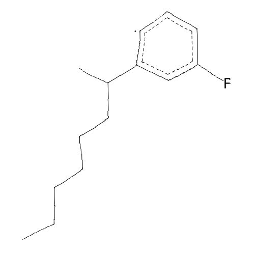 CCCCCCC(C)c1[c]ccc(F)c1